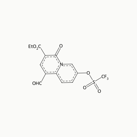 CCOC(=O)c1cc(C=O)c2ccc(OS(=O)(=O)C(F)(F)F)cn2c1=O